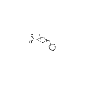 CC12CN(Cc3ccccc3)CC1C2C(=O)Cl